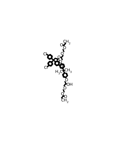 C=CC(=O)OCCOCC(O)COC1=C=C=C(C(C)(C)c2ccc(OCC(COCCOC(=O)C=C)OC(=O)CC(c3ccc(Cl)cc3)(c3ccc(Cl)cc3)c3ccc(Cl)cc3)cc2)C=C1